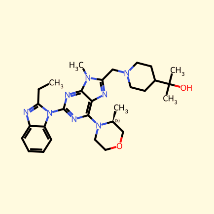 CCc1nc2ccccc2n1-c1nc(N2CCOC[C@@H]2C)c2nc(CN3CCC(C(C)(C)O)CC3)n(C)c2n1